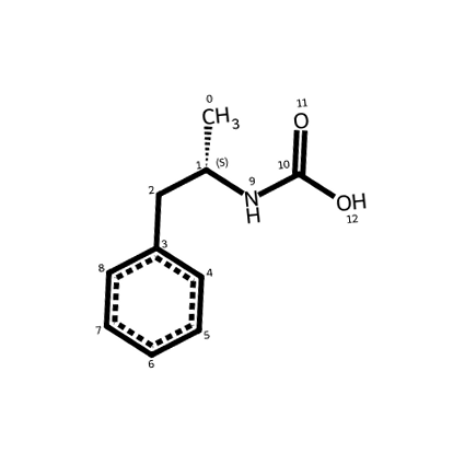 C[C@@H](Cc1ccccc1)NC(=O)O